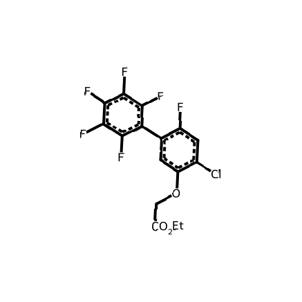 CCOC(=O)COc1cc(-c2c(F)c(F)c(F)c(F)c2F)c(F)cc1Cl